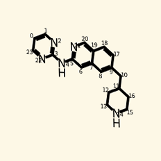 c1cnc(Nc2cc3cc(CC4CCNCC4)ccc3cn2)nc1